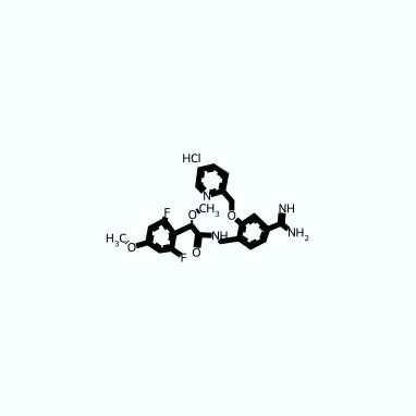 COc1cc(F)c([C@H](OC)C(=O)NCc2ccc(C(=N)N)cc2OCc2ccccn2)c(F)c1.Cl